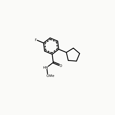 CONC(=O)c1cc(F)ccc1C1CCCC1